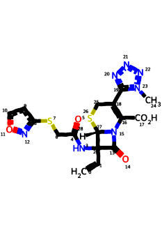 C=CC1(NC(=O)CSc2ccon2)C(=O)N2C(C(=O)O)=C(c3nnnn3C)CS[C@H]21